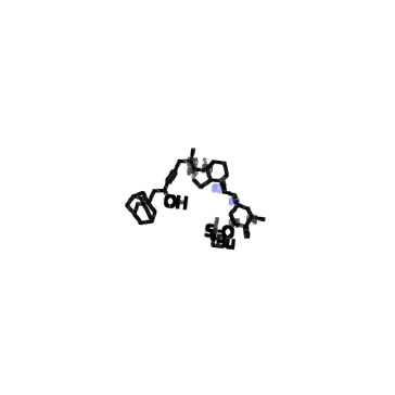 C=C1[C@H](C)C/C(=C/C=C2\CCC[C@@]3(C)C2CC[C@@H]3[C@H](C)CC#CC(O)CC23CC4CC(CC(C4)C2)C3)C[C@H]1O[Si](C)(C)C(C)(C)C